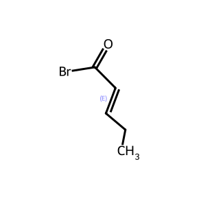 CC/C=C/C(=O)Br